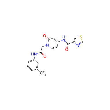 O=C(Cn1ccc(NC(=O)c2cscn2)cc1=O)Nc1cccc(C(F)(F)F)c1